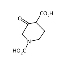 O=C(O)C1CCN(C(=O)O)CC1=O